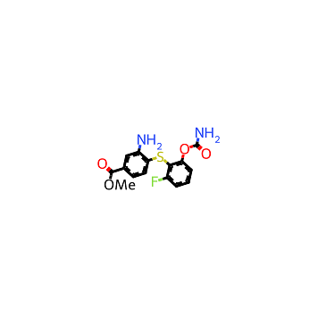 COC(=O)c1ccc(Sc2c(F)cccc2OC(N)=O)c(N)c1